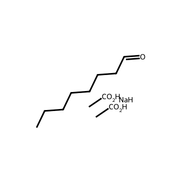 CC(=O)O.CC(=O)O.CCCCCCCC=O.[NaH]